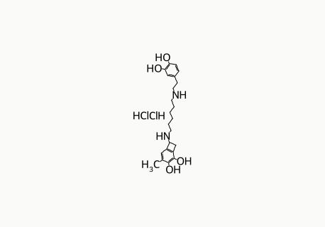 Cc1cc2c(c(O)c1O)CC2NCCCCCCNCCc1ccc(O)c(O)c1.Cl.Cl